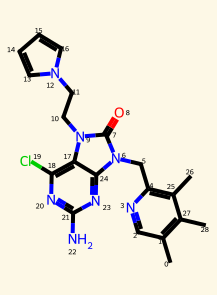 Cc1cnc(Cn2c(=O)n(CCn3cccc3)c3c(Cl)nc(N)nc32)c(C)c1C